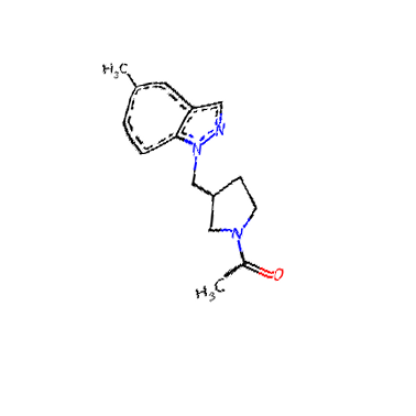 CC(=O)N1CCC(Cn2ncc3cc(C)ccc32)C1